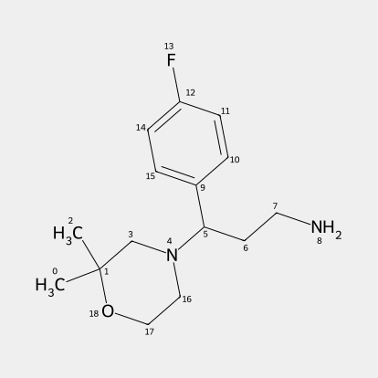 CC1(C)CN(C(CCN)c2ccc(F)cc2)CCO1